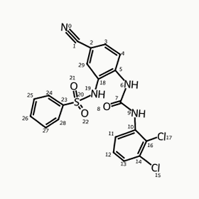 N#Cc1ccc(NC(=O)Nc2cccc(Cl)c2Cl)c(NS(=O)(=O)c2ccccc2)c1